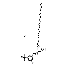 CCCCCCCCCCCCCCCCCCOC[C@H](CO)OCc1cc(F)cc(C(F)(F)F)c1.[K]